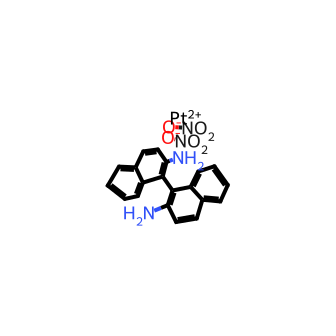 Nc1ccc2ccccc2c1-c1c(N)ccc2ccccc12.O=[N+]([O-])[O-].O=[N+]([O-])[O-].[Pt+2]